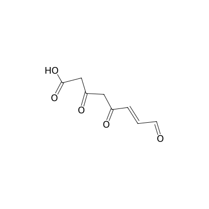 O=C/C=C/C(=O)CC(=O)CC(=O)O